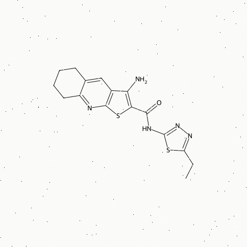 CCc1nnc(NC(=O)c2sc3nc4c(cc3c2N)CCCC4)s1